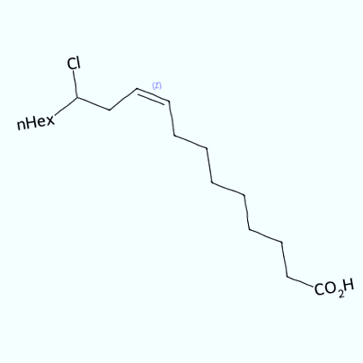 CCCCCCC(Cl)C/C=C\CCCCCCCC(=O)O